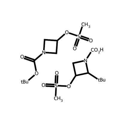 CC(C)(C)C1C(OS(C)(=O)=O)CN1C(=O)O.CC(C)(C)OC(=O)N1CC(OS(C)(=O)=O)C1